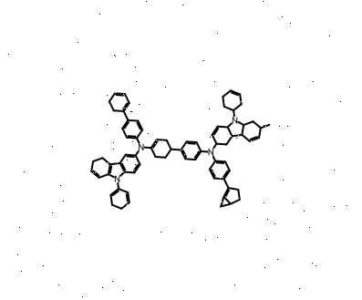 CC1C=CC2C3CC(N(c4ccc(C5=C6CC6CC5)cc4)c4ccc(C5CC=C(N(c6ccc(C7=CC=CCC7)cc6)c6ccc7c(c6)c6c(n7C7=CCCC=C7)C=CCC6)CC5)cc4)C=CC3N(C3CC=CCC3)C2C1